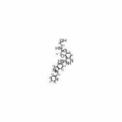 C[C@@H](Oc1cccc2ncnc(Nc3ccc4c(cnn4Cc4ccccn4)c3)c12)C(=O)NCCO